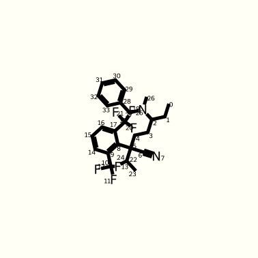 CCC(CCC(C#N)(c1c(C(F)(F)F)cccc1C(F)(F)F)C(C)C)N(C)Cc1ccccc1